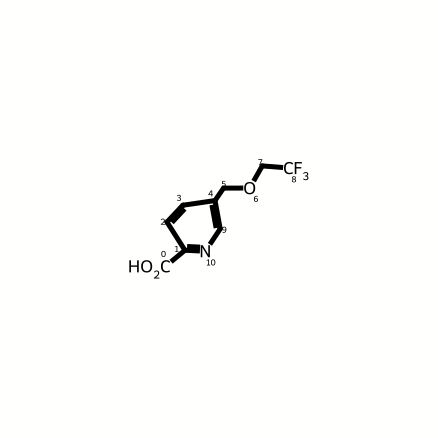 O=C(O)c1ccc(COCC(F)(F)F)cn1